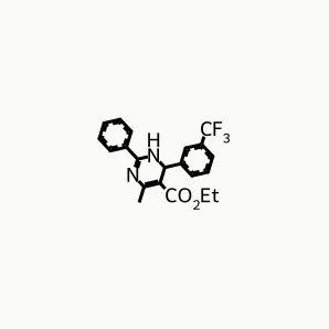 CCOC(=O)C1=C(C)N=C(c2ccccc2)NC1c1cccc(C(F)(F)F)c1